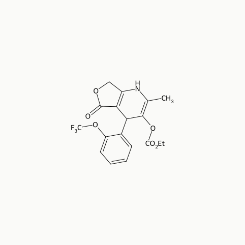 CCOC(=O)OC1=C(C)NC2=C(C(=O)OC2)C1c1ccccc1OC(F)(F)F